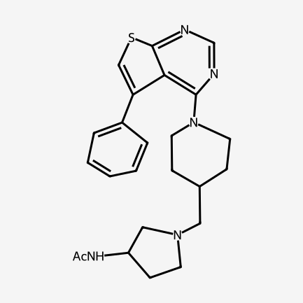 CC(=O)NC1CCN(CC2CCN(c3ncnc4scc(-c5ccccc5)c34)CC2)C1